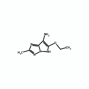 CCOc1[nH]n2nc(C)nc2c1N